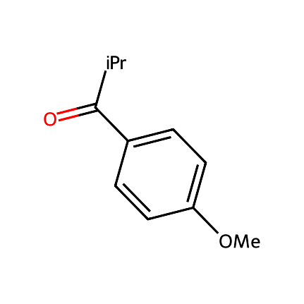 COc1ccc(C(=O)C(C)C)cc1